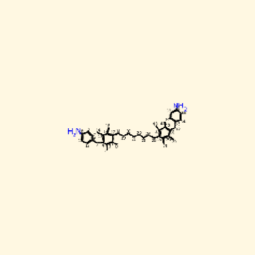 Cc1c(C)c(Cc2ccc(N)cc2)c(C)c(C)c1CCCCCCCCc1c(C)c(C)c(Cc2ccc(N)cc2)c(C)c1C